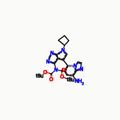 CC(C)(C)OC(=O)N(C(=O)OC(C)(C)C)c1ncnc2c1c(-c1ccc(N)c3nccn13)cn2C1CCC1